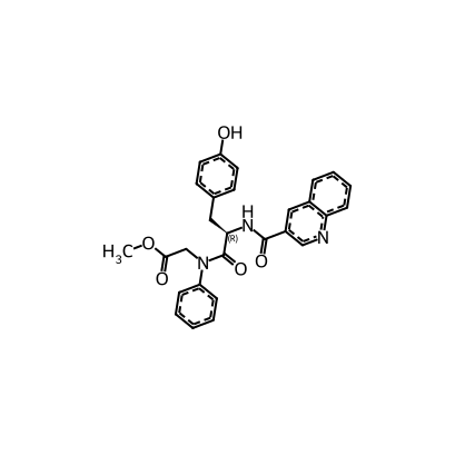 COC(=O)CN(C(=O)[C@@H](Cc1ccc(O)cc1)NC(=O)c1cnc2ccccc2c1)c1ccccc1